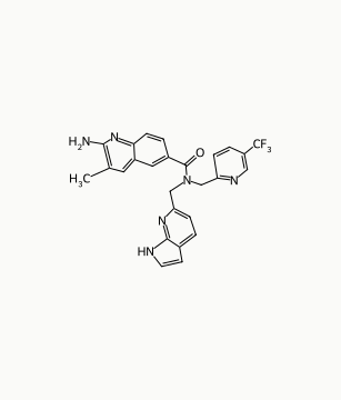 Cc1cc2cc(C(=O)N(Cc3ccc(C(F)(F)F)cn3)Cc3ccc4cc[nH]c4n3)ccc2nc1N